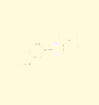 CC(C)(C)C1NC(c2cccc(C(=O)O)c2)=NO1